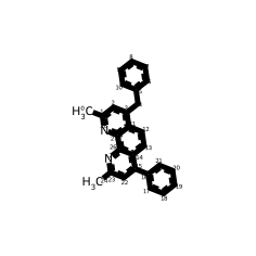 Cc1cc(Cc2ccccc2)c2ccc3c(-c4ccccc4)cc(C)nc3c2n1